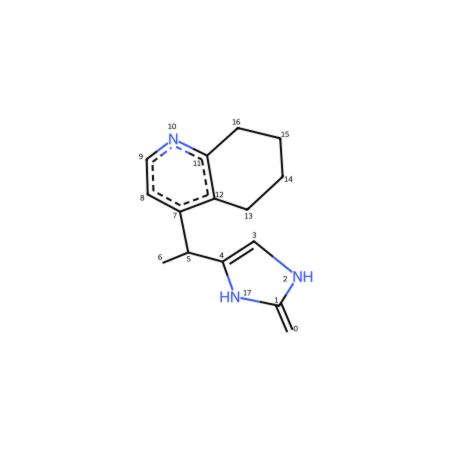 C=C1NC=C(C(C)c2ccnc3c2CCCC3)N1